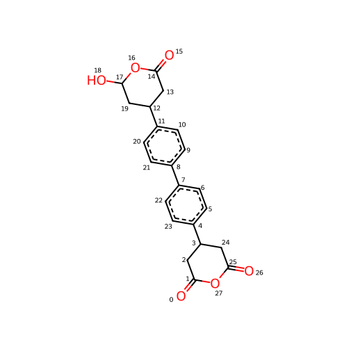 O=C1CC(c2ccc(-c3ccc(C4CC(=O)OC(O)C4)cc3)cc2)CC(=O)O1